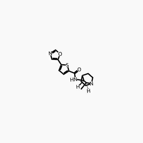 C[C@H]1[C@H](NC(=O)c2ccc(-c3cnco3)s2)C2CCN1CC2